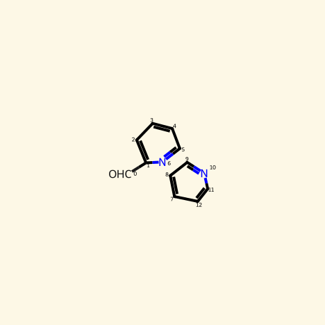 O=Cc1ccccn1.c1ccncc1